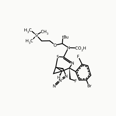 CC(C)(C)C(OCC[Si](C)(C)C)N(C(=O)O)C1=N[C@](CF)(c2cc(Br)ccc2F)[C@@H]2C[C@]2(CN=[N+]=[N-])S1